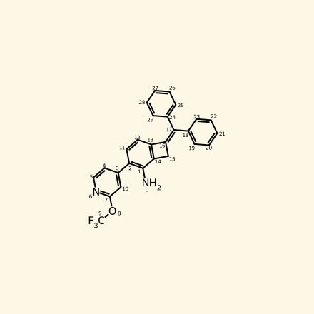 Nc1c(-c2ccnc(OC(F)(F)F)c2)ccc2c1CC2=C(c1ccccc1)c1ccccc1